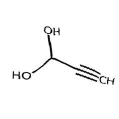 C#CC(O)O